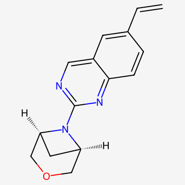 C=Cc1ccc2nc(N3[C@@H]4COC[C@H]3C4)ncc2c1